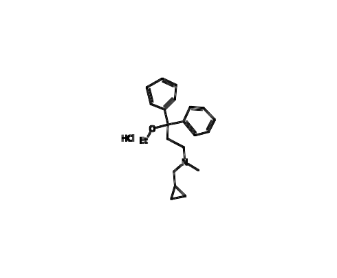 CCOC(CCN(C)CC1CC1)(c1ccccc1)c1ccccc1.Cl